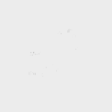 COc1cc(OC(C)C)c(C(=O)C(F)(F)F)cc1C(=O)O[Si](C)(C)C(C)(C)C